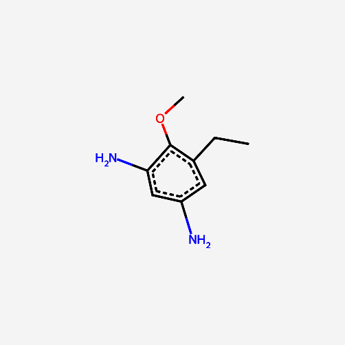 CCc1cc(N)cc(N)c1OC